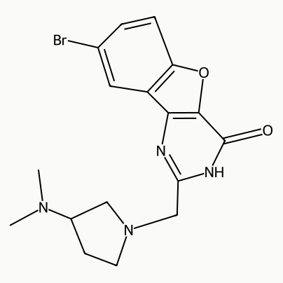 CN(C)C1CCN(Cc2nc3c(oc4ccc(Br)cc43)c(=O)[nH]2)C1